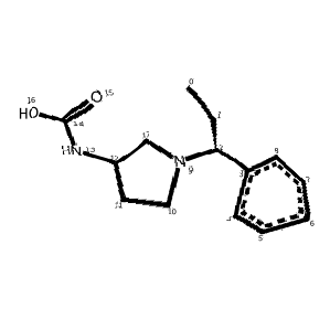 CC[C@@H](c1ccccc1)N1CCC(NC(=O)O)C1